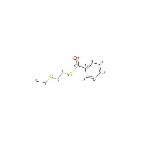 CCSCCSC(=O)c1ccccc1